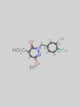 CCOc1cc(C(=O)O)c(=O)n(Cc2ccc(F)c(F)c2)n1